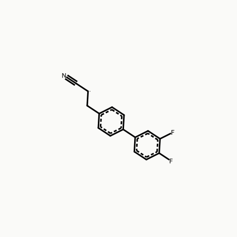 N#C[CH]Cc1ccc(-c2ccc(F)c(F)c2)cc1